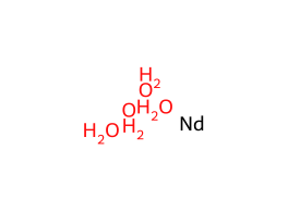 O.O.O.O.[Nd]